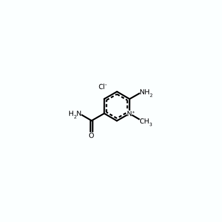 C[n+]1cc(C(N)=O)ccc1N.[Cl-]